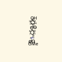 COOC(=O)/C=C/c1ccc(OC(=O)c2ccc(O)cc2)cc1